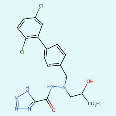 CCOC(=O)C(O)CN(Cc1ccc(-c2cc(Cl)ccc2Cl)cc1)NC(=O)c1nnn[nH]1